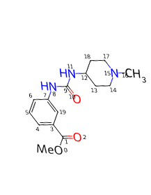 COC(=O)c1cccc(NC(=O)NC2CCN(C)CC2)c1